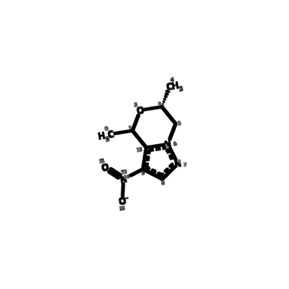 CC1O[C@H](C)Cn2ncc([N+](=O)[O-])c21